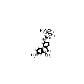 CN(C(=O)c1ccc(NC(=O)OC(C)(C)C)cc1)c1cccc(N)c1